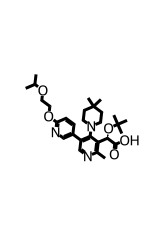 Cc1ncc(-c2ccc(OCCOC(C)C)nc2)c(N2CCC(C)(C)CC2)c1[C@H](OC(C)(C)C)C(=O)O